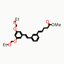 CCOCOc1cc(C=Cc2cccc(C=CCCC(=O)OC)c2)cc(OCOCC)c1